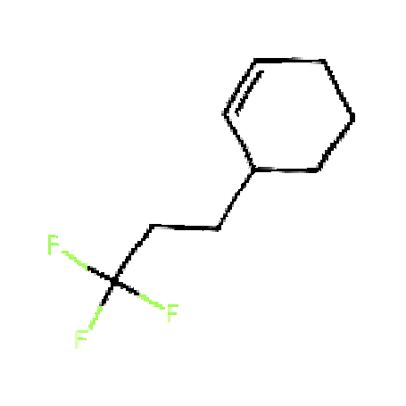 FC(F)(F)CCC1C=CCCC1